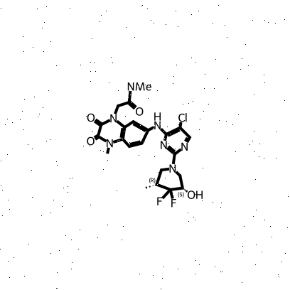 CNC(=O)Cn1c(=O)c(=O)n(C)c2ccc(Nc3nc(N4C[C@@H](C)C(F)(F)[C@@H](O)C4)ncc3Cl)cc21